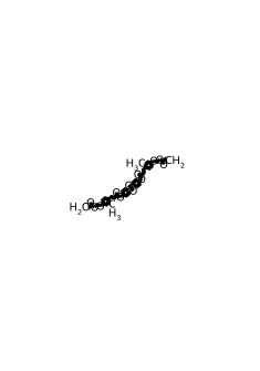 C=CC(=O)OCOc1ccc(C=CC(=O)Oc2ccc(S(=O)(=O)c3ccc(OC(=O)C=Cc4ccc(OCOC(=O)C=C)cc4C)cc3)cc2)c(C)c1